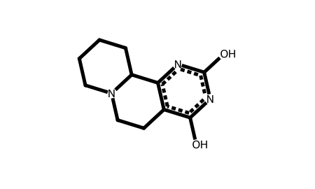 Oc1nc(O)c2c(n1)C1CCCCN1CC2